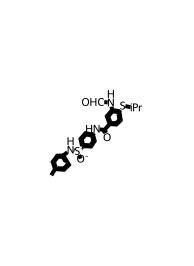 Cc1ccc(N[S+]([O-])c2ccc(NC(=O)c3ccc(SC(C)C)c(NC=O)c3)cc2)cc1